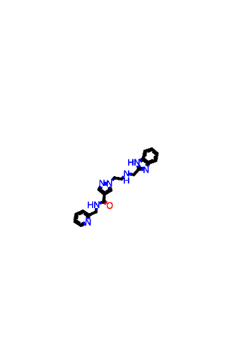 O=C(NCc1ccccn1)c1cnn(CCNCc2nc3ccccc3[nH]2)c1